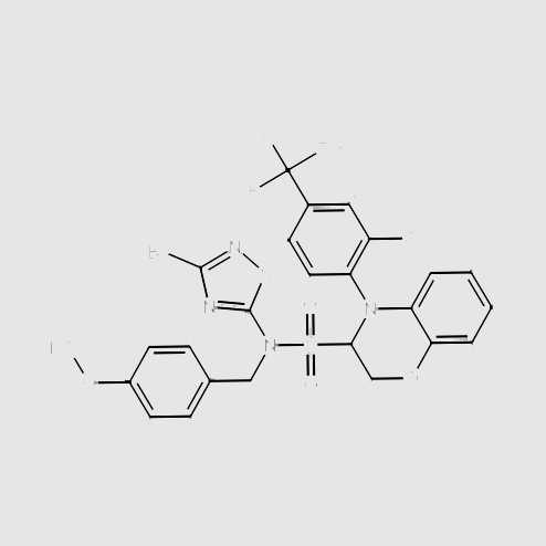 COc1ccc(CN(c2nc(Br)ns2)S(=O)(=O)C2COc3ccccc3N2c2ccc(C(F)(F)F)cc2Cl)cc1